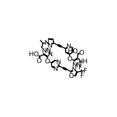 CC(Cn1nnc(Oc2cnc(C#Cc3nc(C(F)(F)F)co3)nc2)c1C(=O)O)n1ccc(C#Cc2cc(Oc3nn[nH]c3C(=O)O)ccn2)n1